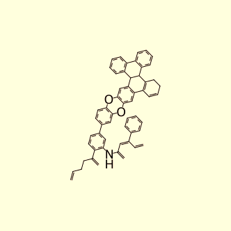 C=CCCC(=C)c1ccc(-c2ccc3c(c2)Oc2cc4c(cc2O3)C2c3ccccc3-c3ccccc3C2C2=C4C=CCC2)cc1NC(=C)/C=C(\C=C)c1ccccc1